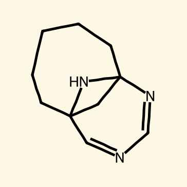 C1=NC=NC23CCCCCC1(C2)N3